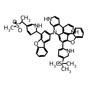 CC(C1=CNC(c2cc(N(C3=C(C4=CCNC=C4)C=CNC3)c3cc(C4=CC=C([Si](C)(C)C)CN4)c4oc5ccccc5c4c3)cc3c2oc2ccccc23)C=C1)S(C)(=O)=O